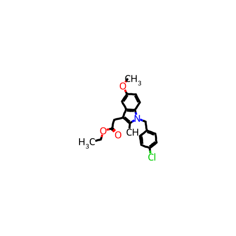 CCOC(=O)Cc1c(C)n(Cc2ccc(Cl)cc2)c2ccc(OC)cc12